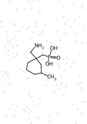 CC1CCCC(CN)(CP(=O)(O)O)C1